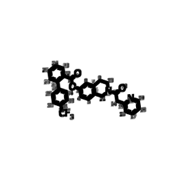 O=C(Oc1ccc2c(c1)CCN(C(=O)Cc1ccccn1)C2)c1ccccc1-c1ccc(C(F)(F)F)cc1